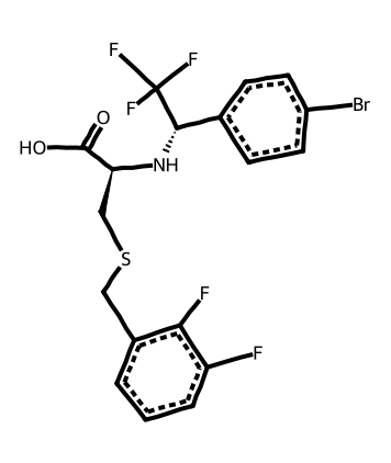 O=C(O)[C@H](CSCc1cccc(F)c1F)N[C@@H](c1ccc(Br)cc1)C(F)(F)F